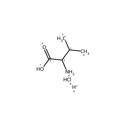 CC(C)C(N)C(=O)O.Cl.[H+]